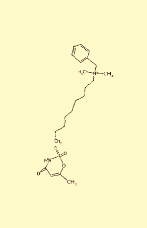 CC1=CC(=O)NS(=O)(=O)O1.CCCCCCCCC[N+](C)(C)Cc1ccccc1